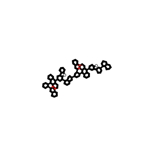 c1ccc(-c2c3ccccc3c(-c3cc(-c4cccc5cc(-c6ccc(-c7c8ccccc8c(-c8ccc9oc%10c(-c%11cccc%12ccccc%11%12)cccc%10c9c8)c8ccccc78)c(-c7ccc8ccccc8c7)c6)ccc45)c4oc5ccccc5c4c3)c3ccccc23)c(-c2ccc3ccccc3c2)c1